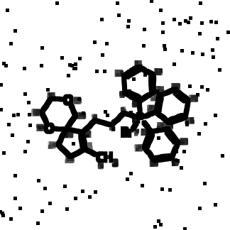 CC1=C(CCCP(Br)(c2ccccc2)(c2ccccc2)c2ccccc2)C2(CC1)COCCO2